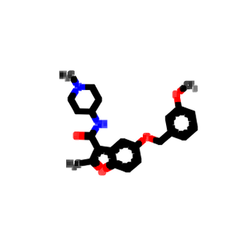 Cc1oc2ccc(OCc3cccc(OC(F)(F)F)c3)cc2c1C(=O)NC1CCN(C)CC1